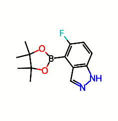 CC1(C)OB(c2c(F)ccc3[nH]ncc23)OC1(C)C